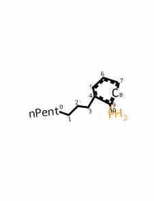 CCCCCCCCc1ccccc1P